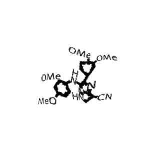 COc1ccc(Nc2c(-c3ccc(OC)c(OC)c3)nc3c(C#N)c[nH]n23)c(OC)c1